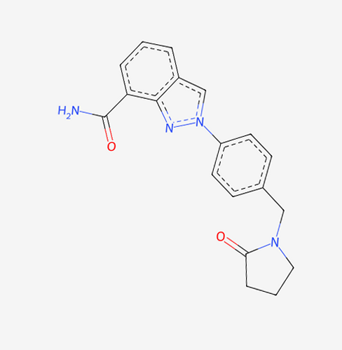 NC(=O)c1cccc2cn(-c3ccc(CN4CCCC4=O)cc3)nc12